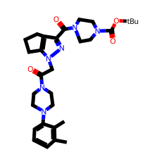 Cc1cccc(N2CCN(C(=O)Cn3nc(C(=O)N4CCN(C(=O)OC(C)(C)C)CC4)c4c3CCC4)CC2)c1C